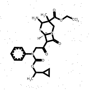 CC(OC(=O)N(CC(=O)C1C(=O)N2CC(C)(C(=O)OCC(Cl)(Cl)Cl)C(N)S[C@H]12)c1ccccc1)C1CC1